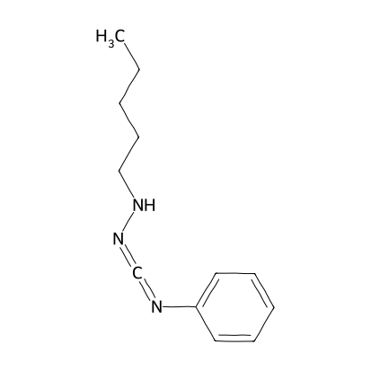 CCCCCNN=C=Nc1ccccc1